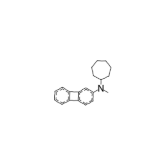 CN(c1ccc2c(c1)-c1ccccc1-2)C1CCCCCC1